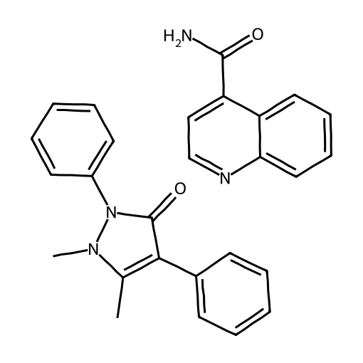 Cc1c(-c2ccccc2)c(=O)n(-c2ccccc2)n1C.NC(=O)c1ccnc2ccccc12